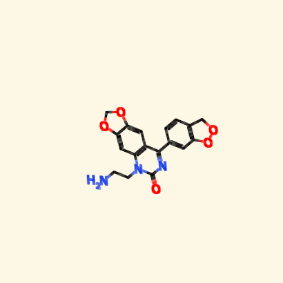 NCCn1c(=O)nc(-c2ccc3c(c2)OOC3)c2cc3c(cc21)OCO3